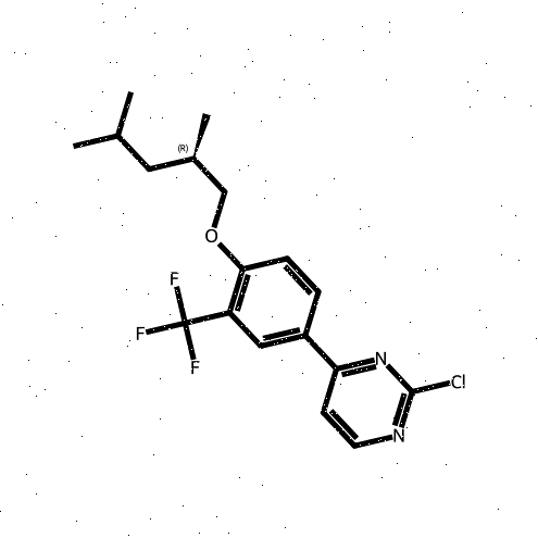 CC(C)C[C@@H](C)COc1ccc(-c2ccnc(Cl)n2)cc1C(F)(F)F